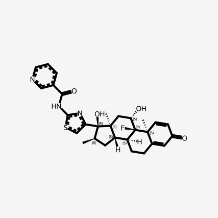 C[C@@H]1C[C@H]2[C@@H]3CCC4=CC(=O)C=C[C@]4(C)[C@@]3(F)[C@@H](O)C[C@]2(C)[C@@]1(O)c1csc(NC(=O)c2cccnc2)n1